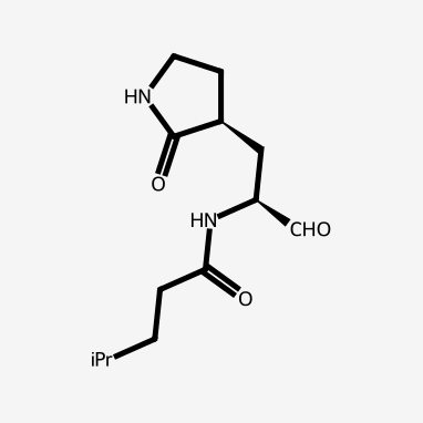 CC(C)CCC(=O)N[C@H](C=O)C[C@@H]1CCNC1=O